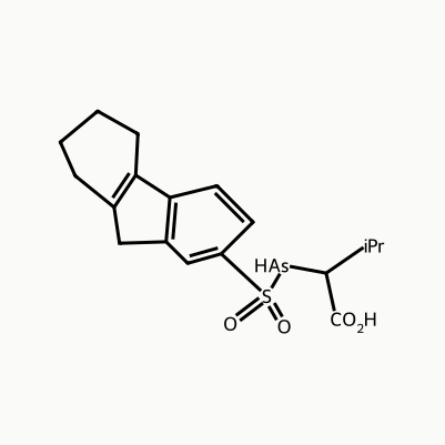 CC(C)C([AsH]S(=O)(=O)c1ccc2c(c1)CC1=C2CCCC1)C(=O)O